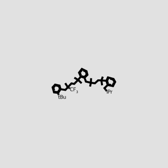 CC(C)Cc1ccccc1C(C)(C)CCC(C)(C)Cc1ccccc1C(C)(C)CCC(C)(Cc1ccccc1C(C)(C)C)C(F)(F)F